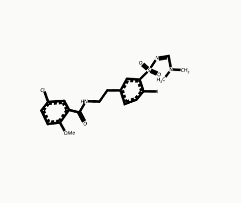 COc1ccc(Cl)cc1C(=O)NCCc1ccc(I)c(S(=O)(=O)/N=C\N(C)C)c1